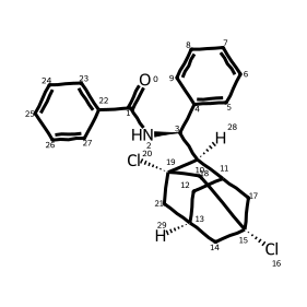 O=C(N[C@@H](c1ccccc1)[C@H]1C2C[C@H]3C[C@](Cl)(C2)C[C@@]1(Cl)C3)c1ccccc1